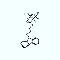 O=C(OCCOC1c2ccccc2-c2ccccc21)C(F)(C(F)(F)F)S(=O)(=O)O